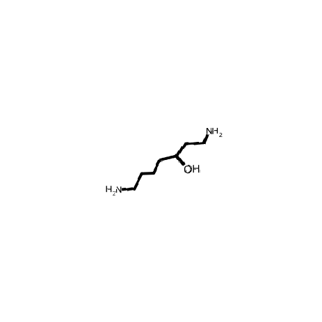 NCCCCC(O)CCN